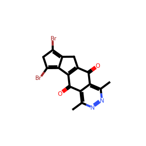 Cc1nnc(C)c2c1C(=O)C1=C(C2=O)C2=C(Br)CC(Br)=C2C1